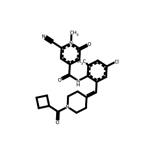 Cc1cc(Cl)cc(C=C2CCN(C(=O)C3CCC3)CC2)c1NC(=O)c1cc(C#N)n(C)c(=O)c1